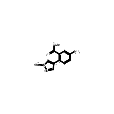 COC(=O)c1cc(N)ccc1-c1cnn(C(C)(C)C)c1